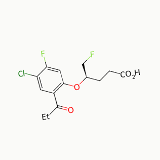 CCC(=O)c1cc(Cl)c(F)cc1O[C@@H](CF)CCC(=O)O